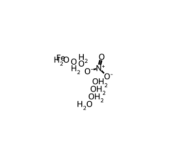 O.O.O.O.O.O.O.O=[N+]([O-])[O-].[Fe]